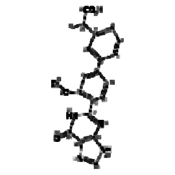 CCOc1cc(-c2cccc(C(C)C(=O)O)c2)ccc1-c1nc2[nH]cnc2c(=O)[nH]1